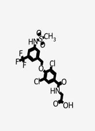 CS(=O)(=O)Nc1cc(COc2c(Cl)cc(C(=O)NCC(=O)O)cc2Cl)cc(C(F)(F)F)c1